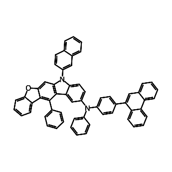 c1ccc(-c2c3c(cc4c2c2cc(N(c5ccccc5)c5ccc(-c6cc7ccccc7c7ccccc67)cc5)ccc2n4-c2ccc4ccccc4c2)oc2ccccc23)cc1